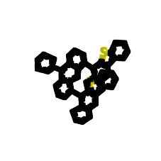 c1ccc(-c2c3cccc(-c4c5ccccc5cc5c4sc4ccccc45)c3cc3c(-c4c5ccccc5cc5c4sc4ccccc45)cccc23)cc1